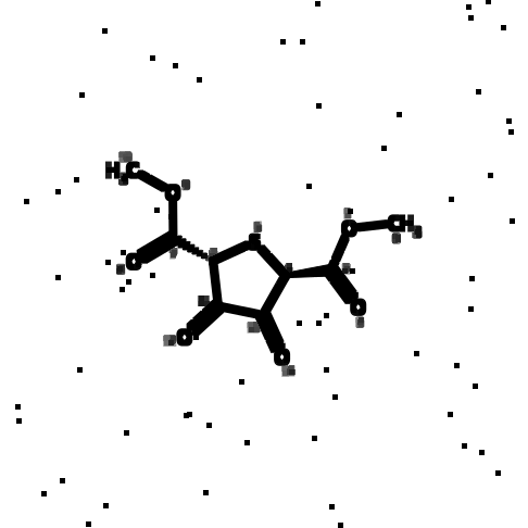 COC(=O)[C@@H]1S[C@@H](C(=O)OC)C(=O)C1=O